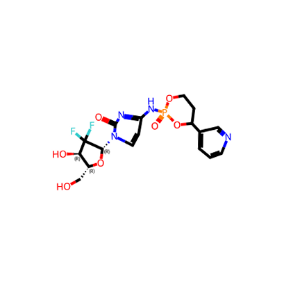 O=c1nc(NP2(=O)OCCC(c3cccnc3)O2)ccn1[C@@H]1O[C@H](CO)[C@@H](O)C1(F)F